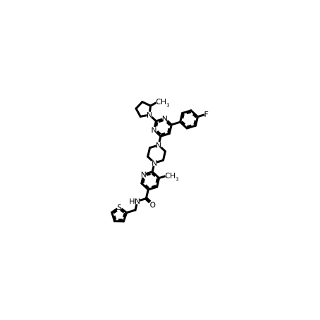 Cc1cc(C(=O)NCc2cccs2)cnc1N1CCN(c2cc(-c3ccc(F)cc3)nc(N3CCCC3C)n2)CC1